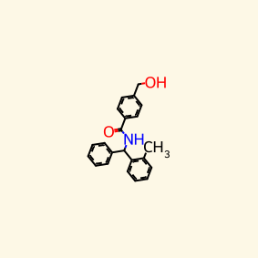 Cc1ccccc1C(NC(=O)c1ccc(CO)cc1)c1ccccc1